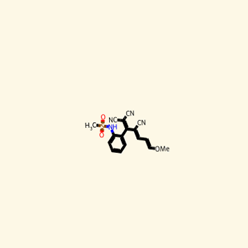 COC=CC=C(C#N)C(=C(C#N)C#N)c1ccccc1NS(C)(=O)=O